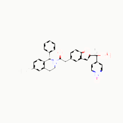 Cc1ccc2c(c1)CCN(C(=O)Cc1ccc3oc([C@@](C)(O)c4cc[n+]([O-])cc4)cc3c1)[C@@H]2c1ccccc1